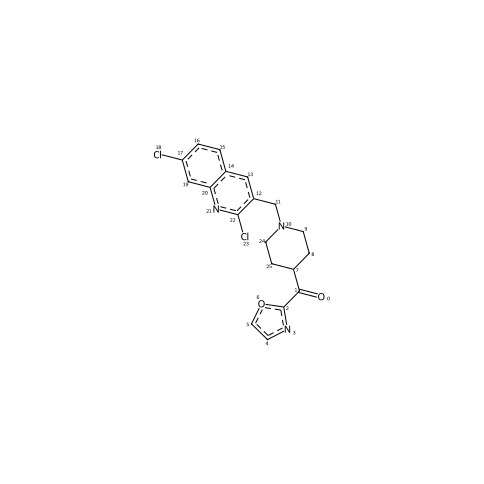 O=C(c1ncco1)C1CCN(Cc2cc3ccc(Cl)cc3nc2Cl)CC1